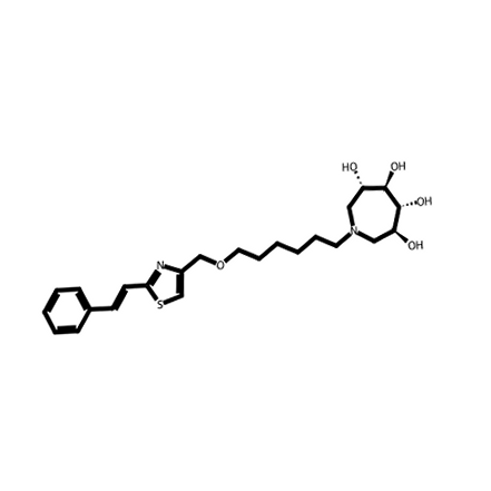 O[C@H]1[C@H](O)[C@@H](O)CN(CCCCCCOCc2csc(/C=C/c3ccccc3)n2)C[C@@H]1O